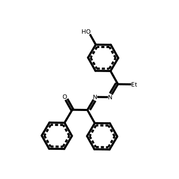 CC/C(=N/N=C(/C(=O)c1ccccc1)c1ccccc1)c1ccc(O)cc1